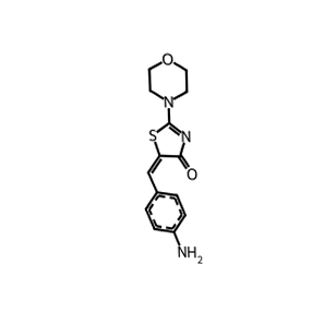 Nc1ccc(C=C2SC(N3CCOCC3)=NC2=O)cc1